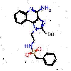 CCCCc1nc2c(N)nc3ccccc3c2n1CCNS(=O)(=O)Cc1ccccc1